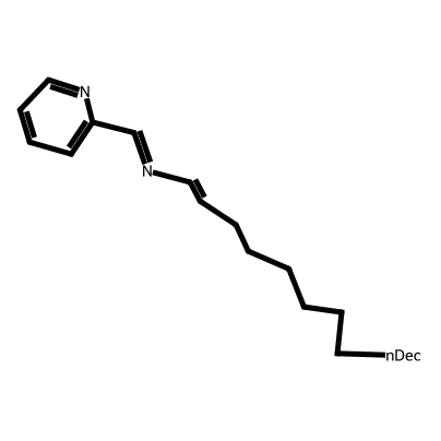 CCCCCCCCCCCCCCCCC=CN=Cc1ccccn1